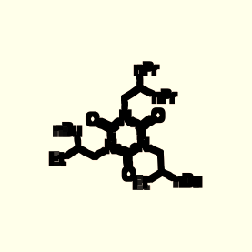 CCCCC(CC)Cn1c(=O)n(CC(CC)CCCC)c(=O)n(CC(CCC)CCC)c1=O